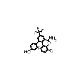 Cc1c(Cl)cccc1-c1c(C(N)=O)cc(C(F)(F)F)cc1-c1ccc(O)cc1F